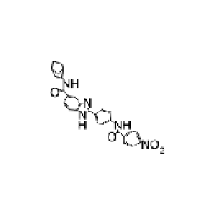 O=C(Nc1ccc(-c2nc3cc(C(=O)NC4CC5CCC4C5)ccc3[nH]2)cc1)c1ccc([N+](=O)[O-])cc1